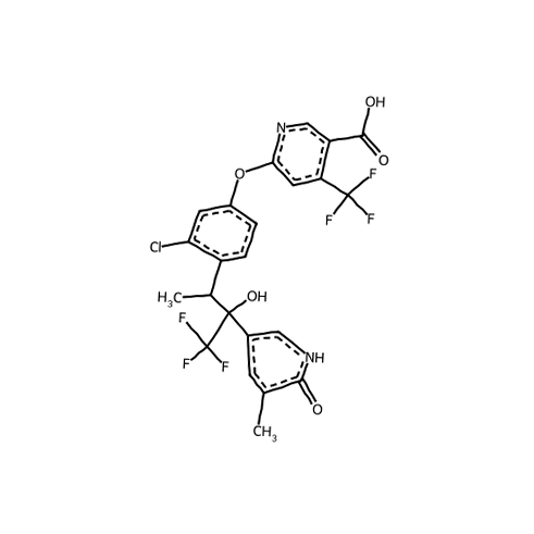 Cc1cc(C(O)(C(C)c2ccc(Oc3cc(C(F)(F)F)c(C(=O)O)cn3)cc2Cl)C(F)(F)F)c[nH]c1=O